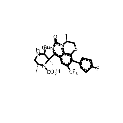 C[C@@H]1CNC(C(C)(C)C)[C@@](C)(c2nc(=O)n3c4c(c(-c5ccc(F)cc5)c(C(F)(F)F)cc24)SC[C@@H]3C)N1C(=O)O